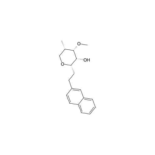 CO[C@@H]1[C@H](O)[C@H](CCc2ccc3ccccc3c2)OC[C@@H]1C